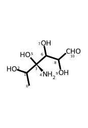 CC(O)[C@](N)(O)C(O)C(O)C=O